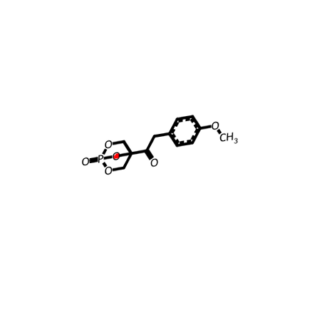 COc1ccc(CC(=O)C23COP(=O)(OC2)OC3)cc1